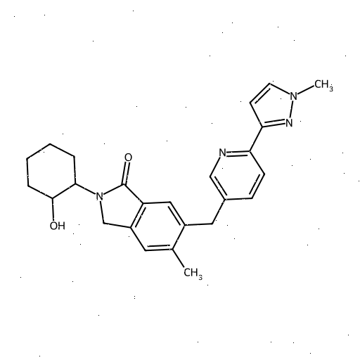 Cc1cc2c(cc1Cc1ccc(-c3ccn(C)n3)nc1)C(=O)N(C1CCCCC1O)C2